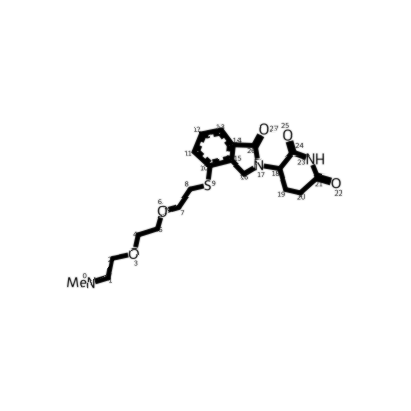 CNCCOCCOCCSc1cccc2c1CN(C1CCC(=O)NC1=O)C2=O